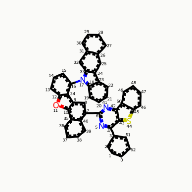 c1ccc(-c2nc(-c3cc4c(oc5cccc(-n6c7ccccc7c7cc8ccccc8cc76)c54)c4ccccc34)nc3c2sc2ccccc23)cc1